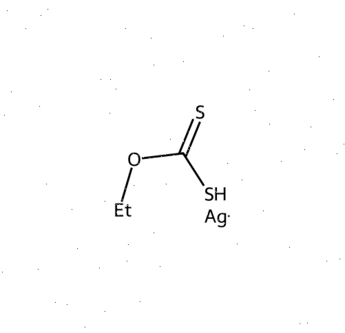 CCOC(=S)S.[Ag]